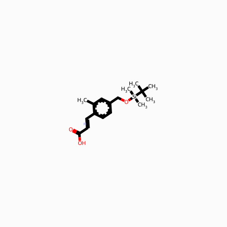 Cc1cc(CO[Si](C)(C)C(C)(C)C)ccc1/C=C/C(=O)O